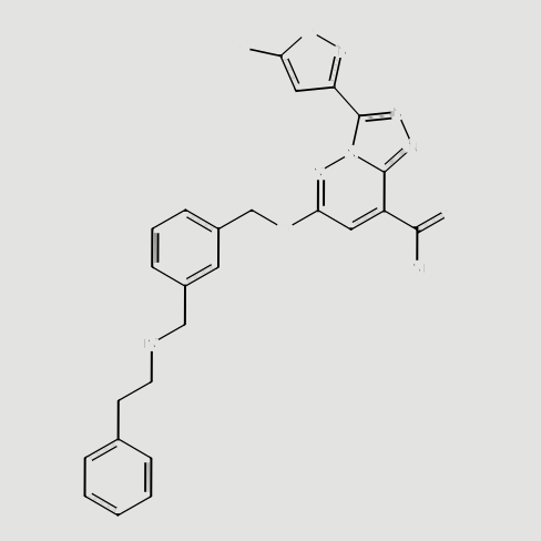 Cc1cc(-c2nnc3c(C(N)=O)cc(OCc4cccc(CNCCc5ccccc5)c4)nn23)no1